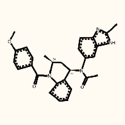 COc1ccc(C(=O)N2c3ccccc3[C@H](N(C(C)=O)c3ccc4nc(C)[nH]c4c3)C[C@@H]2C)cc1